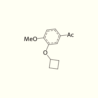 COc1ccc(C(C)=O)cc1OC1CCC1